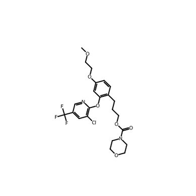 COCCOc1ccc(CCCOC(=O)N2CCOCC2)c(Oc2ncc(C(F)(F)F)cc2Cl)c1